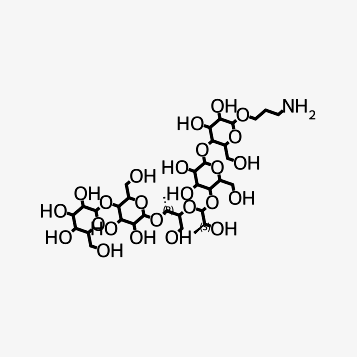 C[C@H](O)C(OC1C(CO)OC(OC2C(CO)OC(OCCCN)C(O)C2O)C(O)C1O)OC(CO)[C@@H](C)OC1OC(CO)C(OC2OC(CO)C(O)C(O)C2O)C(O)C1O